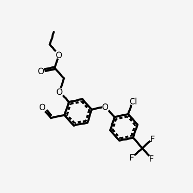 CCOC(=O)COc1cc(Oc2ccc(C(F)(F)F)cc2Cl)ccc1C=O